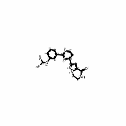 O=C1NCCn2nc(-c3ccnc(-c4cccc(OC(F)F)c4)n3)cc21